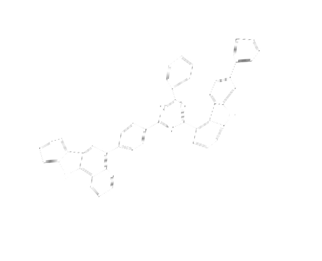 c1ccc(-c2ccc3c(c2)oc2cccc(-c4nc(-c5ccccc5)nc(-c5ccc(-c6cc7c8ccccc8sc7c7ccccc67)cc5)n4)c23)cc1